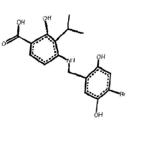 CC(C)c1c(NCc2cc(O)c(Br)cc2O)ccc(C(=O)O)c1O